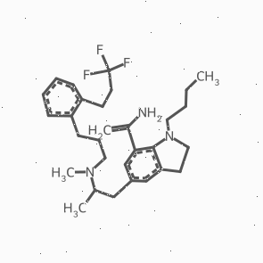 C=C(N)c1cc(CC(C)N(C)CCCc2ccccc2CCC(F)(F)F)cc2c1N(CCCC)CC2